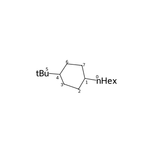 CCCCCCC1CCC(C(C)(C)C)CC1